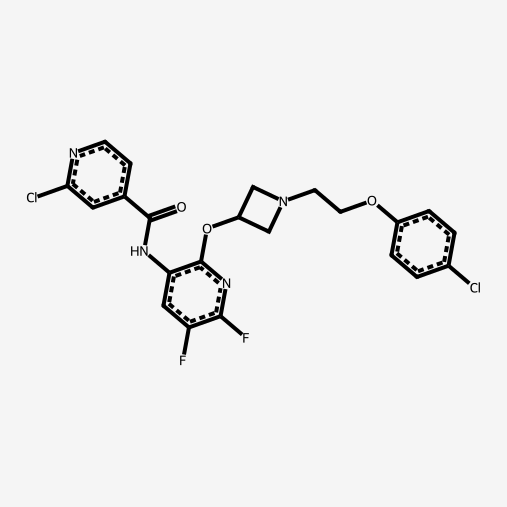 O=C(Nc1cc(F)c(F)nc1OC1CN(CCOc2ccc(Cl)cc2)C1)c1ccnc(Cl)c1